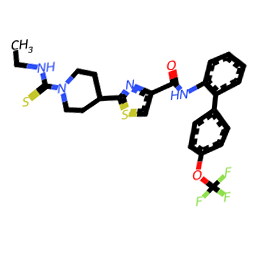 CCNC(=S)N1CCC(c2nc(C(=O)Nc3ccccc3-c3ccc(OC(F)(F)F)cc3)cs2)CC1